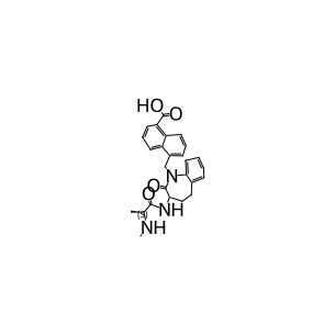 CN[C@@H](C)C(=O)NC1CCc2ccccc2N(Cc2cccc3c(C(=O)O)cccc23)C1=O